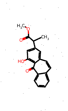 COC(=O)C(C)c1cc(O)c2c(=O)c3ccccc3ccc2c1